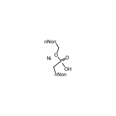 CCCCCCCCCCOP(=O)(O)CCCCCCCCCC.[Ni]